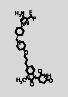 Cn1c(=O)n(C2CCC(=O)NC2=O)c2ccc(CCCOC3CCN(C[C@H]4CC[C@H](n5cc(N)c(C(F)F)n5)CC4)CC3)cc21